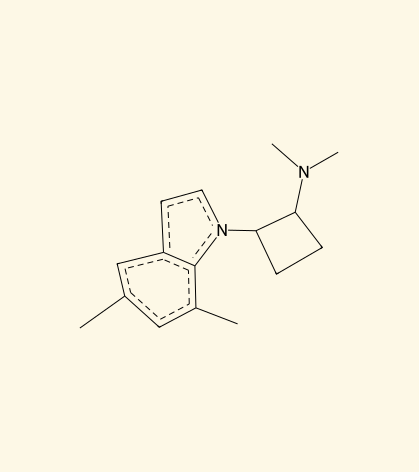 Cc1cc(C)c2c(ccn2C2CCC2N(C)C)c1